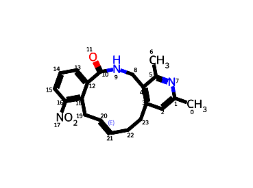 Cc1cc2c(c(C)n1)CNC(=O)c1cccc([N+](=O)[O-])c1C/C=C/CC2